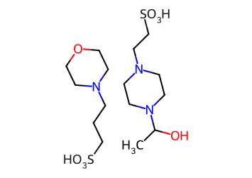 CC(O)N1CCN(CCS(=O)(=O)O)CC1.O=S(=O)(O)CCCN1CCOCC1